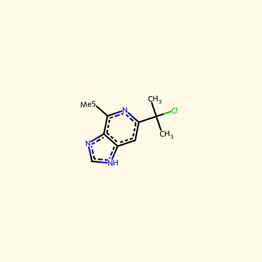 CSc1nc(C(C)(C)Cl)cc2[nH]cnc12